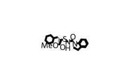 COC(=O)[C@H](CC1CCCCC1)SNC(=O)N1CCc2ccccc21